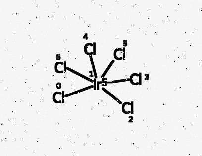 [Cl][Ir-5]([Cl])([Cl])([Cl])([Cl])[Cl]